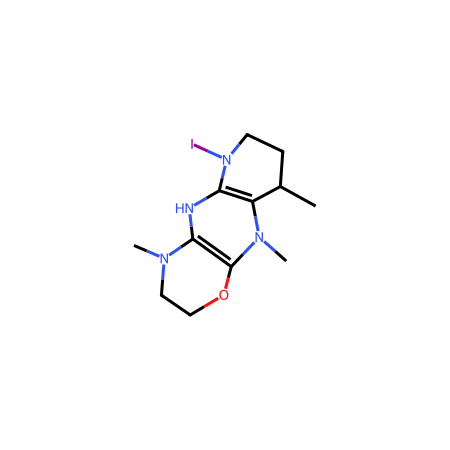 CC1CCN(I)C2=C1N(C)C1=C(N2)N(C)CCO1